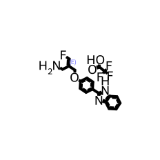 NC/C(=C\F)COc1ccc(-c2nc3ccccc3[nH]2)cc1.O=C(O)C(F)(F)F